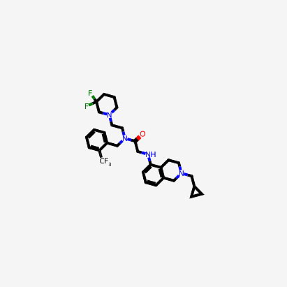 O=C(CNc1cccc2c1CCN(CC1CC1)C2)N(CCN1CCCC(F)(F)C1)Cc1ccccc1C(F)(F)F